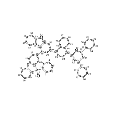 O=P(c1ccccc1)(c1ccccc1)c1cccc(-c2cc(-c3ccc(-c4nc(-c5ccccc5)nc(-c5ccccc5)n4)c4ccccc34)cc3oc4ccccc4c23)c1